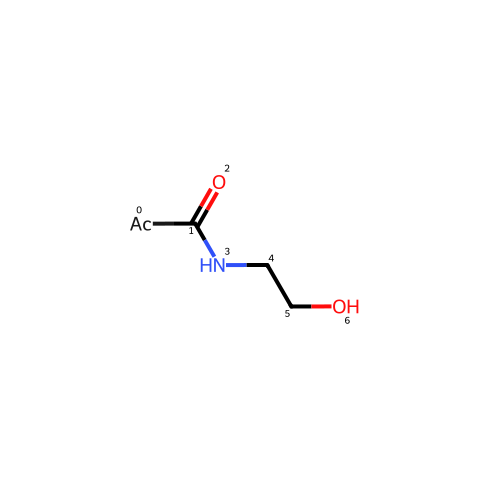 CC(=O)C(=O)NCCO